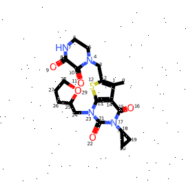 Cc1c(CN2CCNC(=O)C2=O)sc2c1c(=O)n(C1CC1)c(=O)n2CC1CCCO1